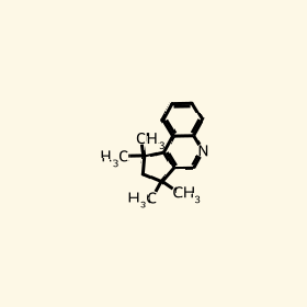 CC1(C)CC(C)(C)c2c1cnc1ccccc21